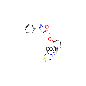 O=C(O)[C@@H]1CSCN1Cc1cccc(OCc2cc(-c3ccccc3)no2)c1